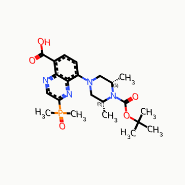 C[C@@H]1CN(c2ccc(C(=O)O)c3ncc(P(C)(C)=O)nc23)C[C@H](C)N1C(=O)OC(C)(C)C